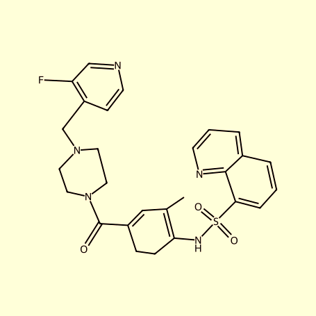 CC1=C(NS(=O)(=O)c2cccc3cccnc23)CCC(C(=O)N2CCN(Cc3ccncc3F)CC2)=C1